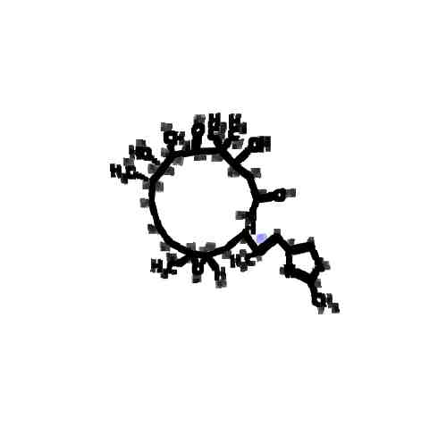 C/C(=C\c1csc(C)n1)C1C[C@@H]2O[C@]2(C)CCC[C@H](C)[C@H](O)[C@@H](C)C(=O)C(C)(C)C(O)CC(=O)N1